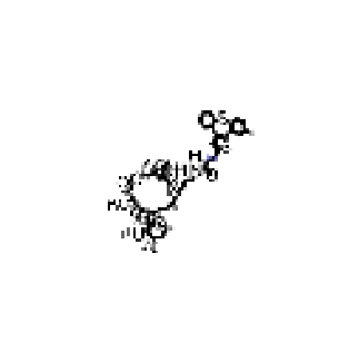 CC[C@H]1OC(=O)[C@H](C)[C@@H](O)[C@H](C)[C@@H](O[C@@H]2O[C@H](C)C[C@H](N(C)C)[C@H]2O)[C@](C)(O)C[C@@H](C)CN(CCCNC(=O)/C=C/c2cc3c(s2)-c2cc(C)ccc2Sc2ccccc2-3)[C@H](C)[C@@H](O)[C@]1(C)O